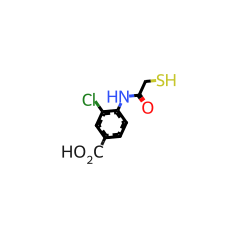 O=C(CS)Nc1ccc(C(=O)O)cc1Cl